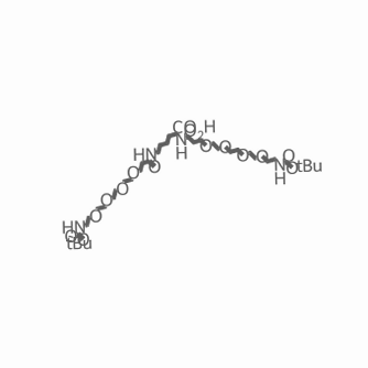 CC(C)(C)OC(=O)NCCOCCOCCOCCOCCC(=O)NCCCC[C@H](NC(=O)CCOCCOCCOCCOCCNC(=O)OC(C)(C)C)C(=O)O